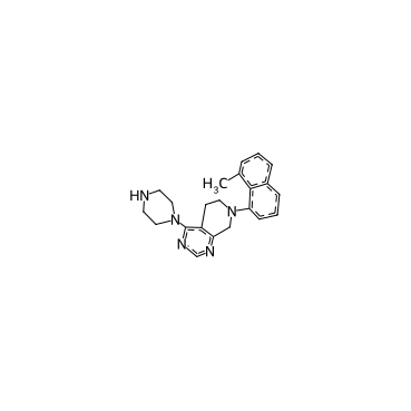 Cc1cccc2cccc(N3CCc4c(ncnc4N4CCNCC4)C3)c12